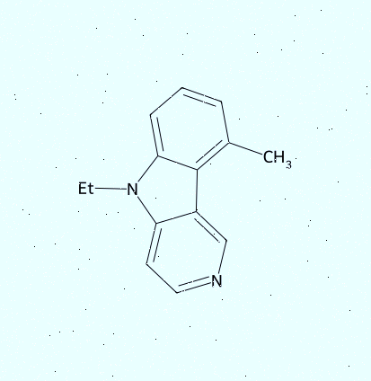 CCn1c2ccncc2c2c(C)cccc21